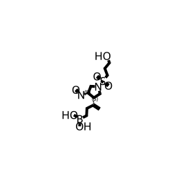 C=C(CCB(O)O)[C@H]1CN(S(=O)(=O)CCCO)C[C@@H]1N=O